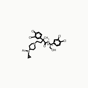 CC(=O)N(C1CC1)C1CCN(CCC(C)(C(=O)N[C@H](CO)c2ccc(Cl)c(Cl)c2)c2ccc(Cl)c(Cl)c2)CC1